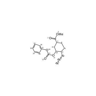 COC(=O)C1CCC(N=[N+]=[N-])C(OC(=O)Oc2ccccc2)C1